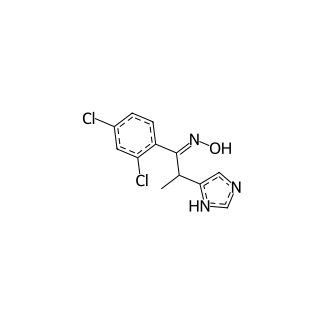 CC(C(=NO)c1ccc(Cl)cc1Cl)c1cnc[nH]1